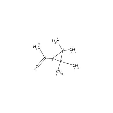 CC(=O)C1C(C)(C)C1(C)C